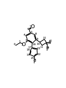 CCOc1cc(C=O)cc(C2CC(F)(F)C2)c1-c1ccc(F)cc1